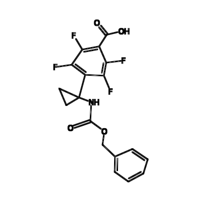 O=C(NC1(c2c(F)c(F)c(C(=O)O)c(F)c2F)CC1)OCc1ccccc1